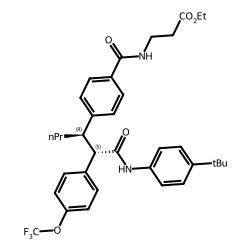 CCC[C@@H](c1ccc(C(=O)NCCC(=O)OCC)cc1)[C@H](C(=O)Nc1ccc(C(C)(C)C)cc1)c1ccc(OC(F)(F)F)cc1